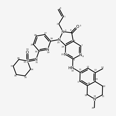 C=CCn1c(=O)c2cnc(Nc3cc(C)c4c(c3)CN(C)CC4)nc2n1-c1cccc(N=S2(=O)CCCCC2)n1